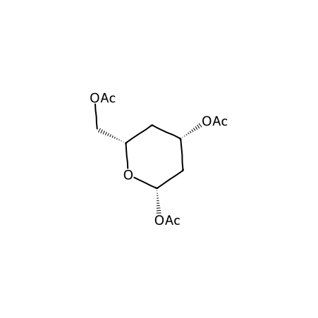 CC(=O)OC[C@@H]1C[C@H](OC(C)=O)C[C@H](OC(C)=O)O1